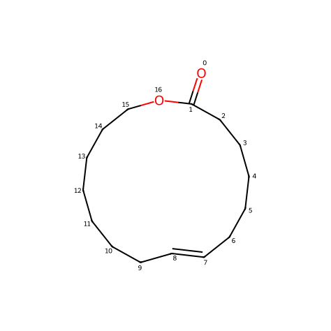 O=C1CCCCC/C=C/CCCCCCCO1